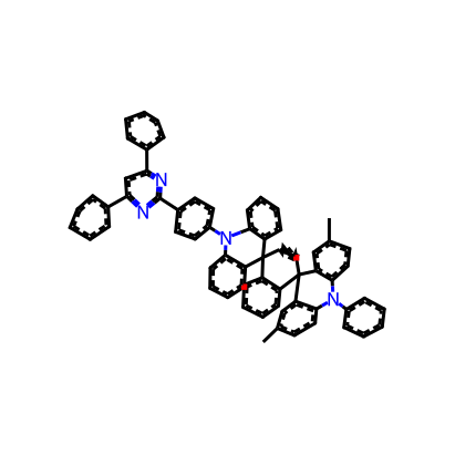 Cc1ccc2c(c1)C1(c3cc(C)ccc3N2c2ccccc2)c2ccccc2C2(c3ccccc3N(c3ccc(-c4nc(-c5ccccc5)cc(-c5ccccc5)n4)cc3)c3ccccc32)c2ccccc21